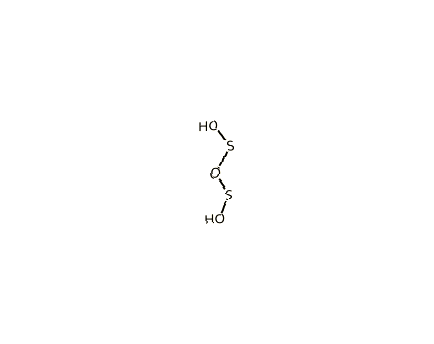 OSOSO